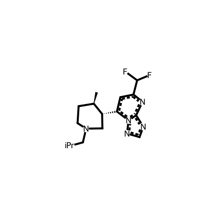 CC(C)CN1CC[C@@H](C)[C@H](c2cc(C(F)F)nc3ncnn23)C1